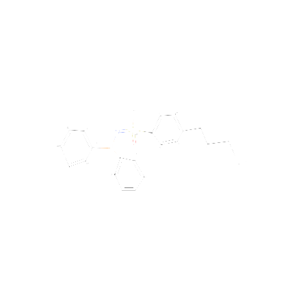 CCCCc1ccc(S(=O)(O)=NP(c2ccccc2)c2ccccc2)cc1